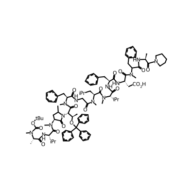 CC(C)C[C@@H](C(=O)N(C)[C@H](C(=O)N[C@@H](Cc1ccccc1)C(=O)N[C@@H](CC(=O)O)C(=O)N(C)C(Cc1ccccc1)C(=O)N[C@@H](C)C(=O)N1CCCCC1)C(C)C)N(C)C(=O)CNC(=O)[C@H](Cc1ccccc1)N(C)C(=O)[C@H]([C@@H](C)OC(c1ccccc1)(c1ccccc1)c1ccccc1)N1C(=O)[C@@H](N(C)C(=O)[C@@H](NC(=O)[C@H](C)N(C)C(=O)OC(C)(C)C)C(C)C)CC1C